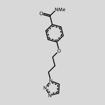 CNC(=O)c1ccc(OCCCn2ccnn2)cc1